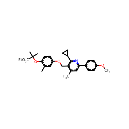 CCOC(=O)C(C)(C)Oc1ccc(OCc2c(C(F)(F)F)cc(-c3ccc(OC(F)(F)F)cc3)nc2C2CC2)cc1C